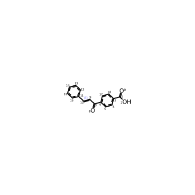 O=C(O)c1ccc(C(=O)/C=C/c2ccccc2)cc1